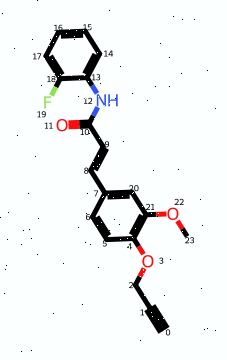 C#CCOc1ccc(/C=C/C(=O)Nc2ccccc2F)cc1OC